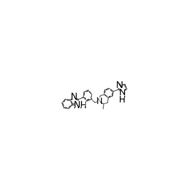 CC1Cc2cc(-c3ncc[nH]3)ccc2CN1Cc1cccc(-c2nc3ccccc3[nH]2)c1